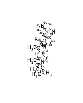 COc1cc(C)c2c(ccn2C(=O)OC(C)(C)C)c1Cn1nc(Br)c2c(OCC34CCCN3CCC4)c(C#N)ccc21